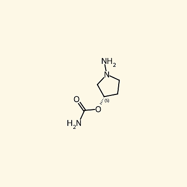 NC(=O)O[C@H]1CCN(N)C1